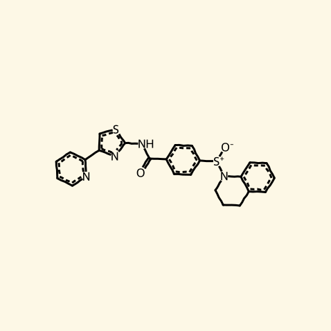 O=C(Nc1nc(-c2ccccn2)cs1)c1ccc([S+]([O-])N2CCCc3ccccc32)cc1